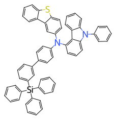 c1ccc(-n2c3ccccc3c3c(N(c4ccc(-c5cccc([Si](c6ccccc6)(c6ccccc6)c6ccccc6)c5)cc4)c4ccc5sc6ccccc6c5c4)cccc32)cc1